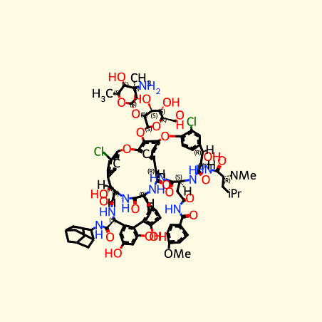 CN[C@H](CC(C)C)C(=O)N[C@H]1C(=O)N[C@@H](CC(=O)NC(=O)c2ccc(OC)cc2)C(=O)N[C@H]2C(=O)N[C@H]3C(=O)N[C@H](C(=O)N[C@H](C(=O)NC4C5CC6CC(C5)CC4C6)c4cc(O)cc(O)c4-c4cc3ccc4O)[C@H](O)c3ccc(c(Cl)c3)Oc3cc2cc(c3O[C@@H]2O[C@H](CO)[C@@H](O)[C@H](O)[C@H]2O[C@H]2C[C@](C)(N)[C@H](O)[C@H](C)O2)Oc2ccc(cc2Cl)[C@H]1O